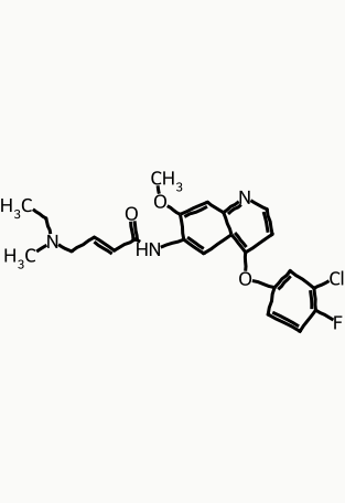 CCN(C)C/C=C/C(=O)Nc1cc2c(Oc3ccc(F)c(Cl)c3)ccnc2cc1OC